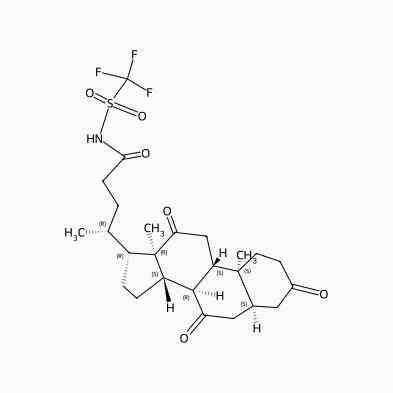 C[C@H](CCC(=O)NS(=O)(=O)C(F)(F)F)[C@H]1CC[C@H]2[C@@H]3C(=O)C[C@@H]4CC(=O)CC[C@]4(C)[C@H]3CC(=O)[C@]12C